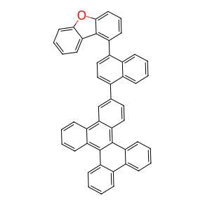 c1ccc2c(c1)oc1cccc(-c3ccc(-c4ccc5c(c4)c4ccccc4c4c6ccccc6c6ccccc6c54)c4ccccc34)c12